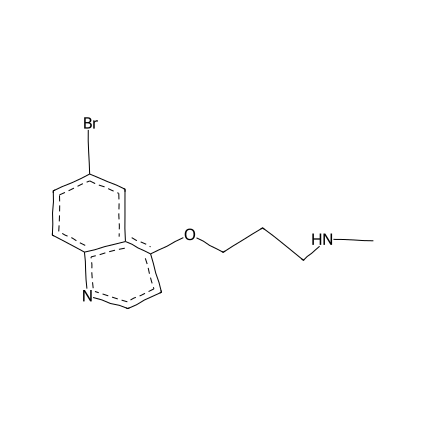 CNCCCOc1ccnc2ccc(Br)cc12